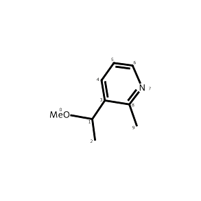 COC(C)c1cccnc1C